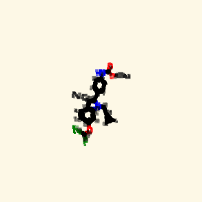 CCC(C)OC(=O)Nc1ccc(-c2c(C#N)c3ccc(OC(F)F)cc3n2CC2CC2)cc1